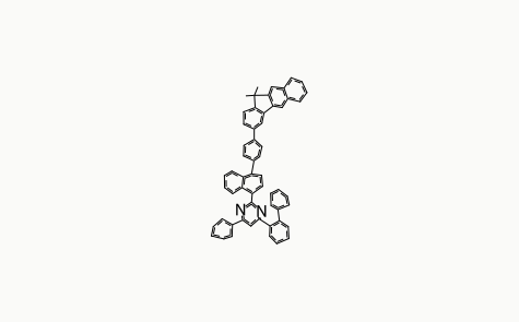 CC1(C)c2ccc(-c3ccc(-c4ccc(-c5nc(-c6ccccc6)cc(-c6ccccc6-c6ccccc6)n5)c5ccccc45)cc3)cc2-c2cc3ccccc3cc21